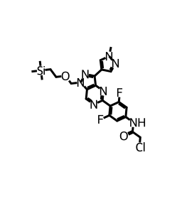 Cn1cc(-c2nn(COCC[Si](C)(C)C)c3cnc(-c4c(F)cc(NC(=O)CCl)cc4F)nc23)cn1